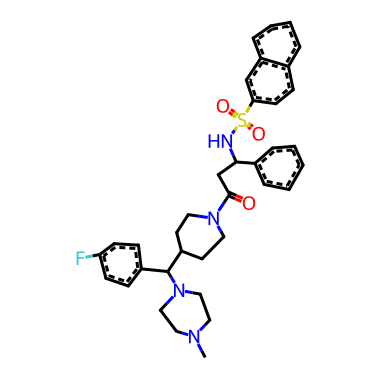 CN1CCN(C(c2ccc(F)cc2)C2CCN(C(=O)CC(NS(=O)(=O)c3ccc4ccccc4c3)c3ccccc3)CC2)CC1